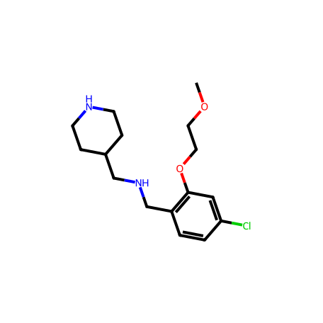 COCCOc1cc(Cl)ccc1CNCC1CCNCC1